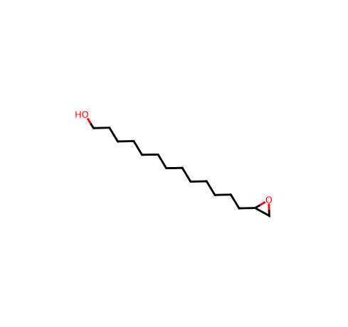 OCCCCCCCCCCCCCC1CO1